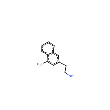 Cc1cc(CC[NH])cc2ccccc12